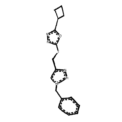 c1ccc(Cn2cc(CSc3nnc(C4CCC4)o3)nn2)cc1